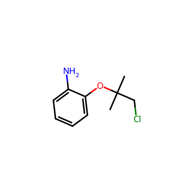 CC(C)(CCl)Oc1ccccc1N